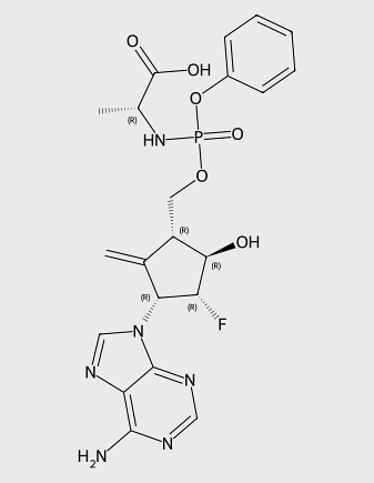 C=C1[C@@H](n2cnc3c(N)ncnc32)[C@@H](F)[C@H](O)[C@H]1COP(=O)(N[C@H](C)C(=O)O)Oc1ccccc1